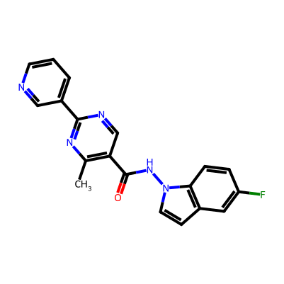 Cc1nc(-c2cccnc2)ncc1C(=O)Nn1ccc2cc(F)ccc21